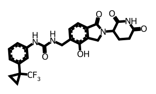 O=C1CCC(N2Cc3c(ccc(CNC(=O)Nc4cccc(C5(C(F)(F)F)CC5)c4)c3O)C2=O)C(=O)N1